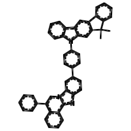 CC1(C)c2ccccc2-c2cc3c4ccccc4n(-c4ccc(-c5ccc6nc7c8ccccc8c(-c8ccccc8)cn7c6c5)cc4)c3cc21